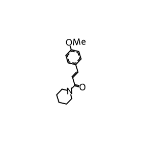 COc1ccc(C=CC(=O)N2CCCCC2)cc1